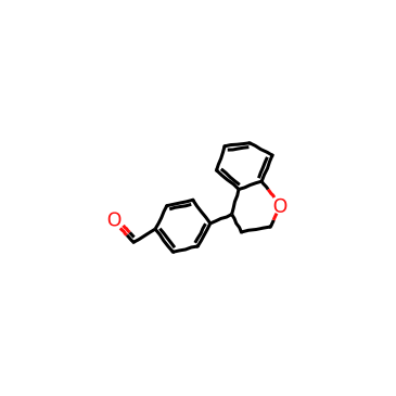 O=Cc1ccc(C2CCOc3ccccc32)cc1